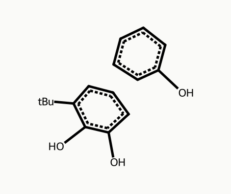 CC(C)(C)c1cccc(O)c1O.Oc1ccccc1